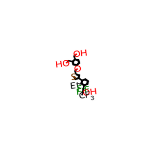 CCc1c(-c2csc(COc3ccc(CO)c(CO)c3)c2)cccc1C(F)(F)C(O)(F)C(F)(F)F